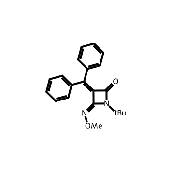 CON=C1C(=C(c2ccccc2)c2ccccc2)C(=O)N1C(C)(C)C